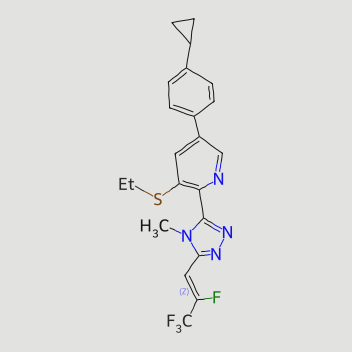 CCSc1cc(-c2ccc(C3CC3)cc2)cnc1-c1nnc(/C=C(\F)C(F)(F)F)n1C